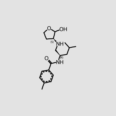 Cc1ccc(C(=O)N[C@@H](CN[C@H]2CCOC2O)CC(C)C)cc1